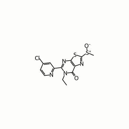 CCn1c(-c2cc(Cl)ccn2)nc2sc([S+](C)[O-])nc2c1=O